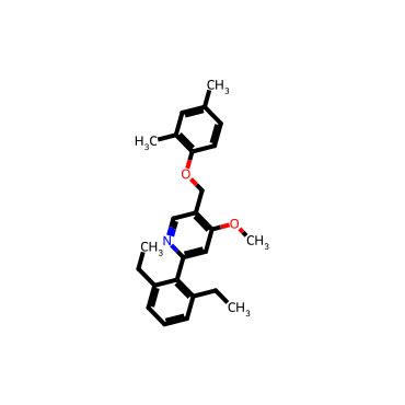 CCc1cccc(CC)c1-c1cc(OC)c(COc2ccc(C)cc2C)cn1